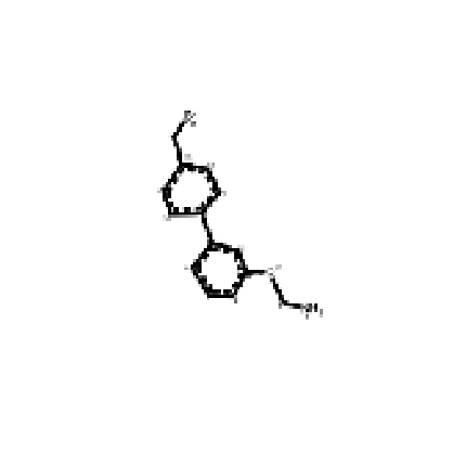 NCOc1cccc(-c2ccc(CBr)cc2)c1